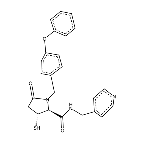 O=C(NCc1ccncc1)[C@H]1[C@H](S)CC(=O)N1Cc1ccc(Oc2ccccc2)cc1